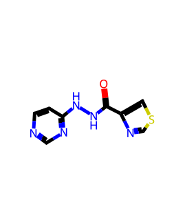 O=C(NNc1ccncn1)c1cscn1